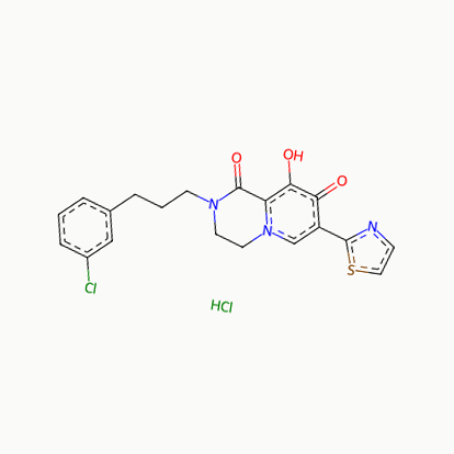 Cl.O=C1c2c(O)c(=O)c(-c3nccs3)cn2CCN1CCCc1cccc(Cl)c1